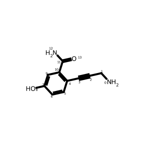 NCC#Cc1ccc(O)cc1C(N)=O